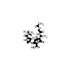 CC(=O)OCC(=O)NC(C)[C@H]1C(=O)N2C(C(=O)O)=C(S[C@@H]3CN[C@H](C(=O)N(C)C)C3)[C@H](C)[C@H]12